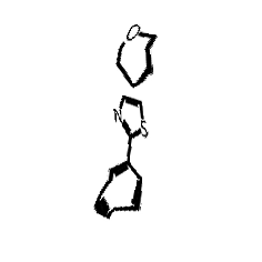 C1CCOC1.c1ccc(-c2nccs2)cc1